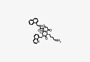 C[C@H]1[C@H]2N(C(=O)CN(C)N2C(=O)NCc2cccc3ccccc23)[C@@H](CCCCN)C(=O)N1Cc1cccc2cccnc12